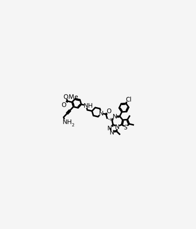 COC(=O)c1ccc(NCC2CCN(C(=O)C[C@@H]3N=C(c4ccc(Cl)cc4)c4c(sc(C)c4C)-n4c(C)nnc43)CC2)cc1C#CCN